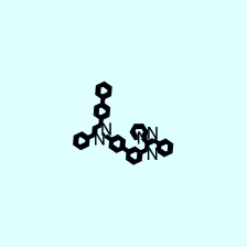 c1ccc(-c2ccc(-c3cc(-c4ccccc4)nc(-c4ccc(-c5cccc(-c6nc7ccccc7c7nc8ccccn8c67)c5)cc4)n3)cc2)cc1